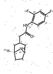 O=C(CC1CC2CC[C@@H](C1)N2)Nc1ccc(F)cc1F